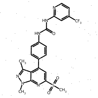 Cc1nn(C)c2nc(S(C)(=O)=O)cc(-c3ccc(NC(=O)Nc4cc(C(F)(F)F)ccn4)cc3)c12